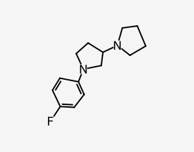 Fc1ccc(N2CCC(N3CCCC3)C2)cc1